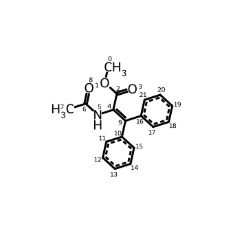 COC(=O)C(NC(C)=O)=C(c1ccccc1)c1ccccc1